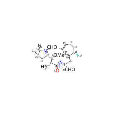 COC([C@@H](C)C(=O)N[C@H](C=O)CC1=CC=CCC=C1F)[C@@H]1CC2C[C@@H]2N1C=O